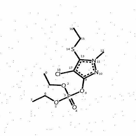 CCOP(=O)(OCC)Oc1nn(C)c(SCC)c1Cl